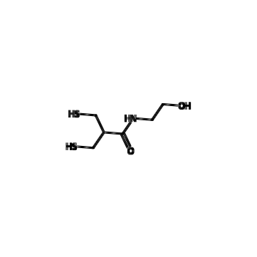 O=C(NCCO)C(CS)CS